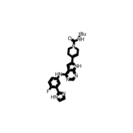 CC(C)(C)NC(=O)N1CC=C(c2cc3c(Nc4ccc(F)c(-c5ncc[nH]5)c4)ncnc3[nH]2)CC1